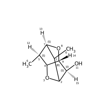 CC1C2OC3[C@@H](C)[C@H]1O[C@@H]3[C@H]2O